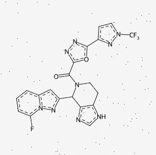 O=C(c1nnc(-c2ccn(C(F)(F)F)n2)o1)N1CCc2[nH]cnc2C1c1cc2cccc(F)n2n1